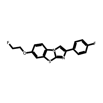 FCCOc1ccc2c(c1)sc1nc(-c3ccc(F)cc3)cn12